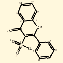 O=c1c(S(=O)(=O)Cl)c(-c2ccccc2)oc2ccccc12